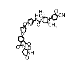 C[C@@H]1CN(c2ccc(C#N)c(Cl)c2)[C@@H](C)CN1C(=O)Nc1ccc(ON2CCN(c3ccc4c(c3)C(=O)N(C3CCC(=O)NC3=O)C4=O)CC2)nc1